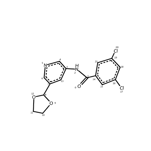 O=C(Nc1cncc(C2OCCO2)c1)c1cc(Cl)cc(Cl)c1